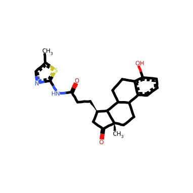 Cc1cnc(NC(=O)CC[C@@H]2CC(=O)[C@@]3(C)CCC4c5cccc(O)c5CCC4C23)s1